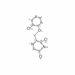 Clc1cnc(COc2ccccc2Cl)c(Cl)n1